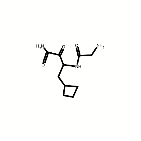 NCC(=O)NC(CC1CCC1)C(=O)C(N)=O